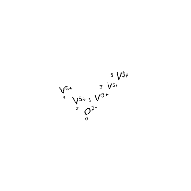 [O-2].[V+5].[V+5].[V+5].[V+5].[V+5]